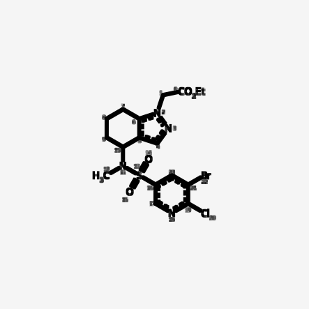 CCOC(=O)Cn1ncc2c1CCCC2N(C)S(=O)(=O)c1cnc(Cl)c(Br)c1